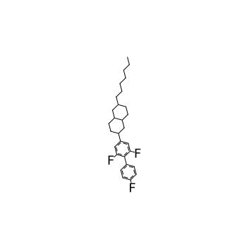 CCCCCCCC1CCC2CC(c3cc(F)c(-c4ccc(F)cc4)c(F)c3)CCC2C1